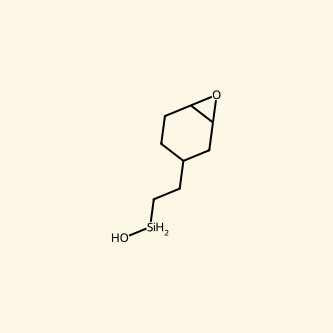 O[SiH2]CCC1CCC2OC2C1